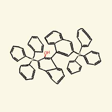 Oc1c([Si](c2ccccc2)(c2ccccc2)c2ccccc2)cc2ccccc2c1-c1cc([Si](c2ccccc2)(c2ccccc2)c2ccccc2)cc2ccccc12